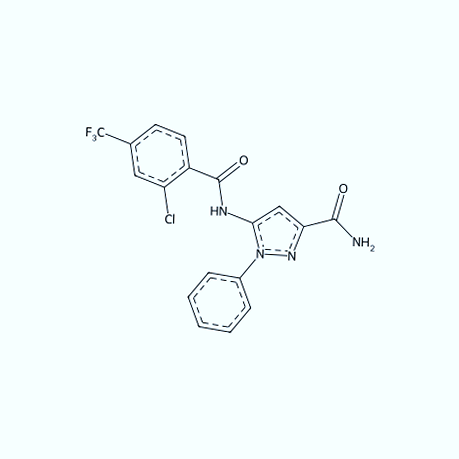 NC(=O)c1cc(NC(=O)c2ccc(C(F)(F)F)cc2Cl)n(-c2ccccc2)n1